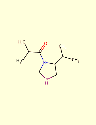 CC(C)C(=O)N1CPCC1C(C)C